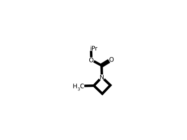 CC(C)OC(=O)N1CCC1C